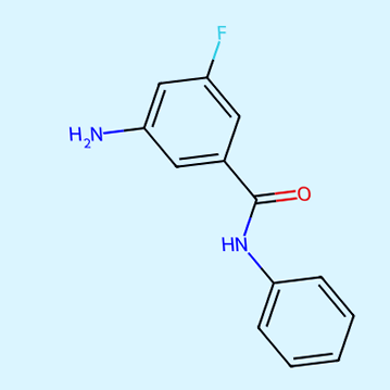 Nc1cc(F)cc(C(=O)Nc2ccccc2)c1